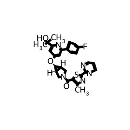 Cc1nc(-c2ncccn2)sc1C(=O)N1C[C@@H]2[C@H](C1)[C@@H]2Oc1cc(-c2ccc(F)cc2)nc(C(C)(C)O)c1